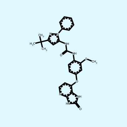 CSc1cc(Oc2ccnc3[nH]c(=O)[nH]c23)ccc1NC(=O)Nc1cc(C(C)(C)C)nn1-c1ccccc1